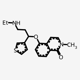 CCNCCC(Oc1cccc2c(=O)n(C)ccc12)c1ccsc1